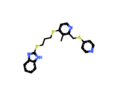 Cc1c(SCCCSc2nc3ccccc3[nH]2)ccnc1CSc1ccncc1